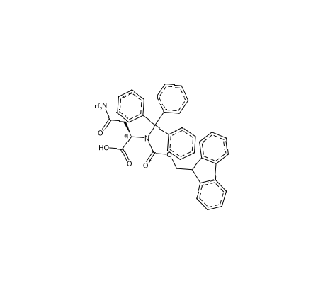 NC(=O)C[C@H](C(=O)O)N(C(=O)OCC1c2ccccc2-c2ccccc21)C(c1ccccc1)(c1ccccc1)c1ccccc1